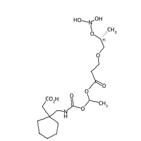 CC(OC(=O)CCOC[C@@H](C)ON(O)O)OC(=O)NCC1(CC(=O)O)CCCCC1